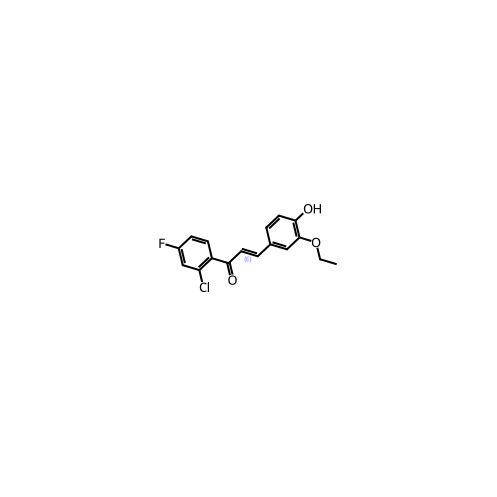 CCOc1cc(/C=C/C(=O)c2ccc(F)cc2Cl)ccc1O